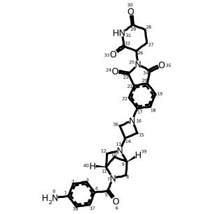 Nc1ccc(C(=O)N2C[C@@H]3C[C@H]2CN3C2CN(c3ccc4c(c3)C(=O)N(C3CCC(=O)NC3=O)C4=O)C2)cc1